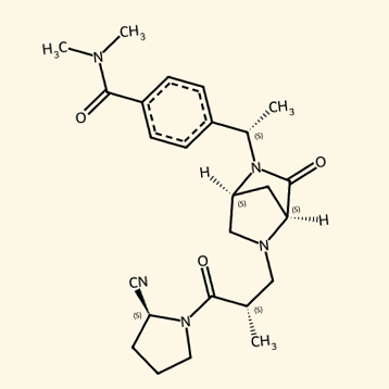 C[C@@H](CN1C[C@@H]2C[C@H]1C(=O)N2[C@@H](C)c1ccc(C(=O)N(C)C)cc1)C(=O)N1CCC[C@H]1C#N